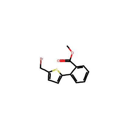 COC(=O)c1ccccc1-c1ccc(CBr)s1